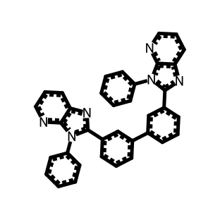 c1ccc(-n2c(-c3cccc(-c4cccc(-c5nc6cccnc6n5-c5ccccc5)c4)c3)nc3cccnc32)cc1